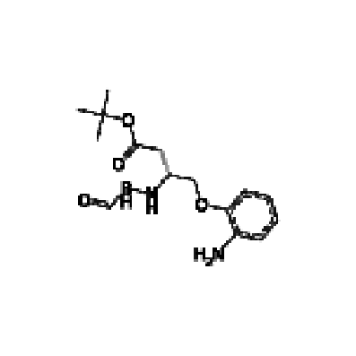 CC(C)(C)OC(=O)C[C@H](COc1ccccc1N)NBC=O